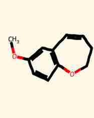 COc1ccc2c(c1)C=[C]CCO2